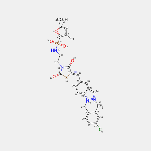 Cc1cc(C(=O)O)oc1S(=O)(=O)NCCN1C(=O)S/C(=C\c2ccc3c(cnn3Cc3ccc(Cl)cc3C(F)(F)F)c2)C1=O